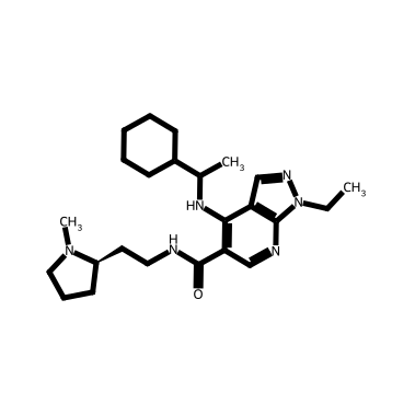 CCn1ncc2c(NC(C)C3CCCCC3)c(C(=O)NCC[C@H]3CCCN3C)cnc21